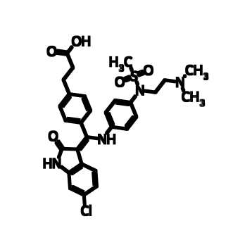 CN(C)CCN(c1ccc(NC(=C2C(=O)Nc3cc(Cl)ccc32)c2ccc(CCC(=O)O)cc2)cc1)S(C)(=O)=O